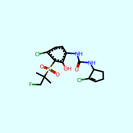 CC(C)(CF)S(=O)(=O)c1c(Cl)ccc(NC(=O)NC2CCC=C2Cl)c1O